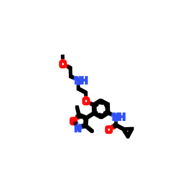 COCCNCCOc1ccc(NC(=O)C2CC2)cc1-c1c(C)noc1C